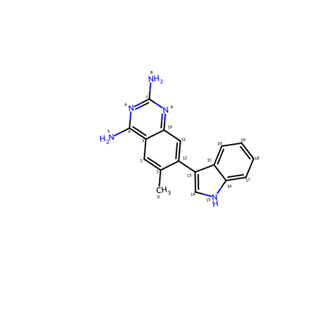 Cc1cc2c(N)nc(N)nc2cc1-c1c[nH]c2ccccc12